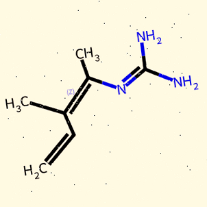 C=C/C(C)=C(/C)N=C(N)N